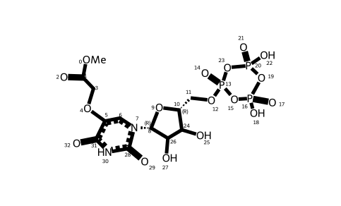 COC(=O)COc1cn([C@@H]2O[C@H](COP3(=O)OP(=O)(O)OP(=O)(O)O3)C(O)C2O)c(=O)[nH]c1=O